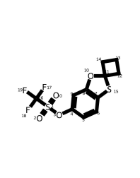 O=S(=O)(Oc1ccc2c(c1)OC1(CCC1)S2)C(F)(F)F